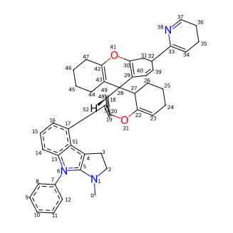 CN1CCc2c1n(-c1ccccc1)c1cccc(C3=CC4OC5=CCCCC5C5(C6=C(CC(C7=CCCC=N7)C=C6)OC6=C5CCCC6)[C@H]4C=C3)c21